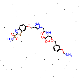 NCOc1cccc(COCC(NC(=O)Cn2cc(COc3ccc4nc(S(N)(=O)=O)sc4c3)nn2)C(=O)O)c1